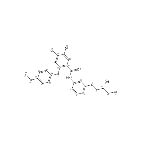 O=C(Nc1ccnc(OC[C@H](O)CO)c1)c1cc(Cl)c(Cl)cc1Oc1ccc(OC(F)(F)F)cc1